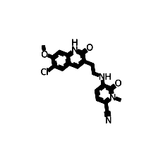 COc1cc2[nH]c(=O)c(CCNc3ccc(C#N)n(C)c3=O)cc2cc1Cl